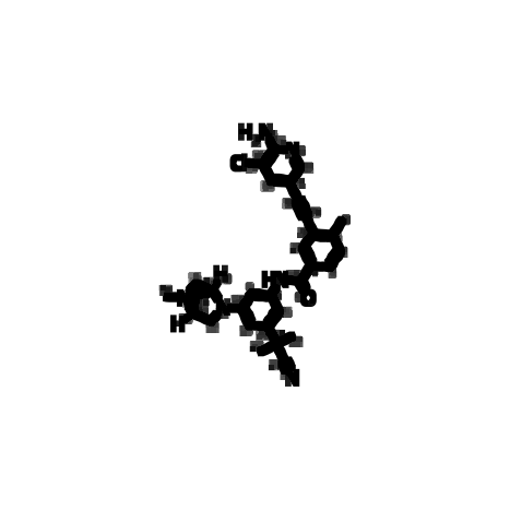 Cc1ccc(C(=O)Nc2cc(N3C[C@H]4C[C@@H]3CN4C)cc(C(C)(C)C#N)c2)cc1C#Cc1cnc(N)c(Cl)c1